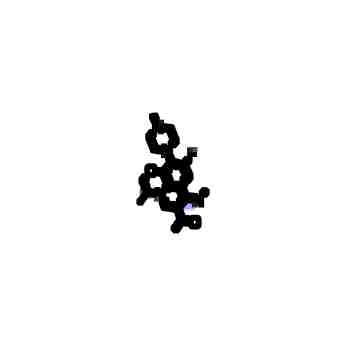 C/N=c1/c(C(C)=O)cn2c3c(c(N4CCN(C)CC4)c(F)cc13)OC[C@@H]2C